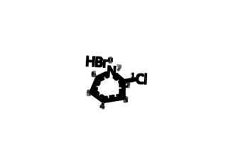 Br.Clc1ccccn1